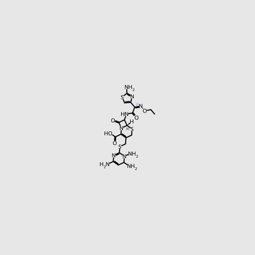 CCO/N=C(\C(=O)NC1C(=O)N2C(C(=O)O)=C(CSC3=NC(N)=CC(N)N3N)CS[C@@H]12)c1csc(N)n1